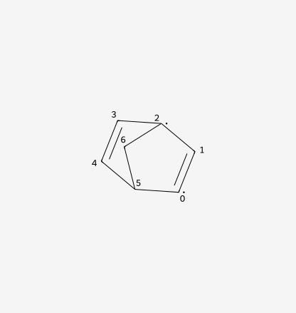 [C]1=C[C]2C=CC1C2